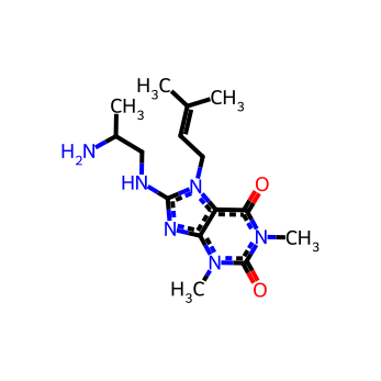 CC(C)=CCn1c(NCC(C)N)nc2c1c(=O)n(C)c(=O)n2C